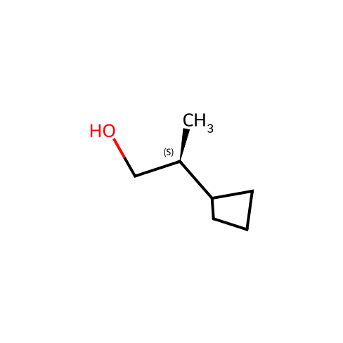 C[C@H](CO)C1CCC1